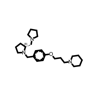 c1cc(OCCCN2CCCCC2)ccc1CN1CCC[C@@H]1CN1CCCC1